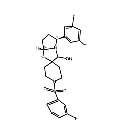 O=S(=O)(c1cccc(F)c1)N1CCC2(CC1)O[C@@H]1CC[C@@H](c3cc(F)cc(F)c3)N1C2O